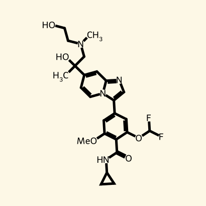 COc1cc(-c2cnc3cc(C(C)(O)CN(C)CCO)ccn23)cc(OC(F)F)c1C(=O)NC1CC1